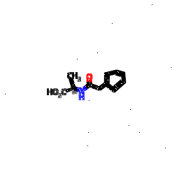 C[C@@H](NC(=O)Cc1ccccc1)C(=O)O